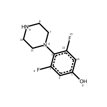 Oc1cc(F)c(N2CCNCC2)c(F)c1